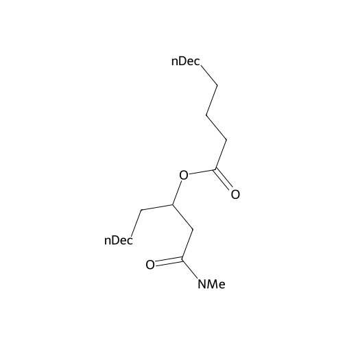 CCCCCCCCCCCCCC(=O)OC(CCCCCCCCCCC)CC(=O)NC